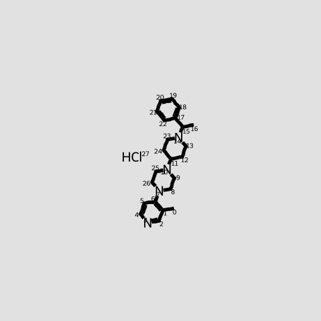 Cc1cnccc1N1CCN(C2CCN(C(C)c3ccccc3)CC2)CC1.Cl